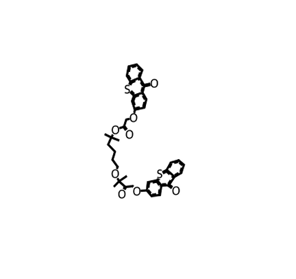 CC(C)(CCCCOC(C)(C)C(=O)COc1ccc2c(=O)c3ccccc3sc2c1)OC(=O)COc1ccc2c(=O)c3ccccc3sc2c1